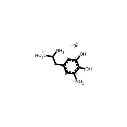 Br.NC(Cc1cc(O)c(O)c([N+](=O)[O-])c1)C(=O)O